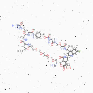 CC[C@@]1(O)C(=O)OCc2c1cc1n(c2=O)Cc2c-1nc1cc(F)c(C)c3c1c2[C@@H](NC(=O)COCNC(=O)CNC(=O)OCc1ccc(NC(=O)[C@H](CCCNC(N)=O)NC(=O)[C@@H](NC(=O)[C@H](CCC(=O)O)NC(=O)CCOCCOCCOCCOCCN)C(C)C)cc1)CC3